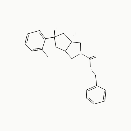 Cc1ccccc1[C@]1(O)C[C@H]2CN(C(=O)OCc3ccccc3)C[C@H]2C1